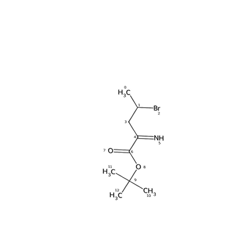 CC(Br)CC(=N)C(=O)OC(C)(C)C